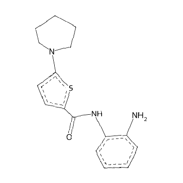 Nc1ccccc1NC(=O)c1ccc(N2CCCCC2)s1